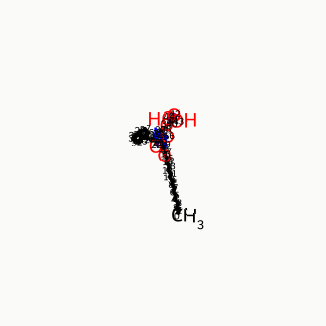 CCCCCCCCCCCCCCCCOCCCn1c(=O)c(Cc2cccc3ccccc23)cn(CCOCP(=O)(O)O)c1=O